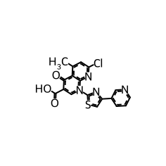 Cc1cc(Cl)nc2c1c(=O)c(C(=O)O)cn2-c1nc(-c2cccnc2)cs1